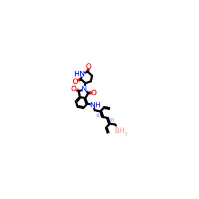 BC/C(C=C)=C/C=C(\C=C)CNc1cccc2c1C(=O)N(C1CCC(=O)NC1=O)C2=O